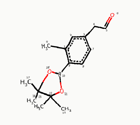 Cc1cc(CC=O)ccc1B1OC(C)(C)C(C)(C)O1